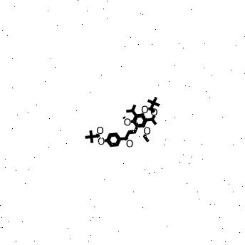 CCOc1c(C=CC(=O)c2ccc(OC(=O)C(C)(C)C)cc2)c(OC)c(C(C)C)c(OC(=O)C(C)(C)C)c1C(C)C